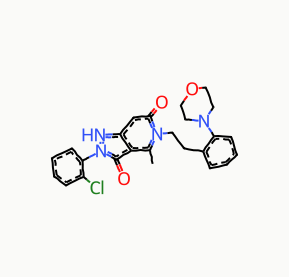 Cc1c2c(=O)n(-c3ccccc3Cl)[nH]c2cc(=O)n1CCc1ccccc1N1CCOCC1